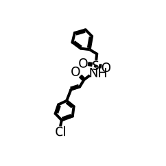 O=C(/C=C/c1ccc(Cl)cc1)NS(=O)(=O)Cc1ccccc1